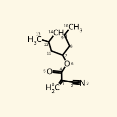 C=C(C#N)C(=O)OC(CCC)CC(C)C